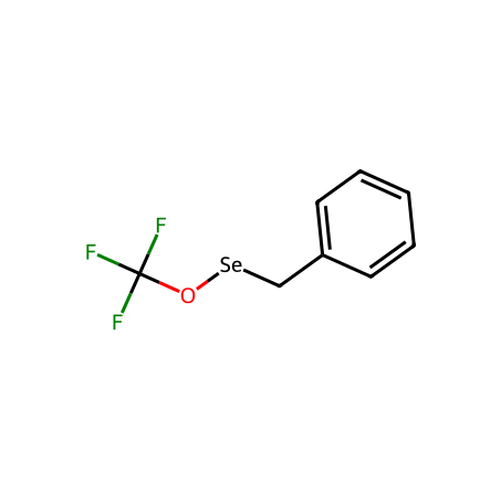 FC(F)(F)O[Se]Cc1ccccc1